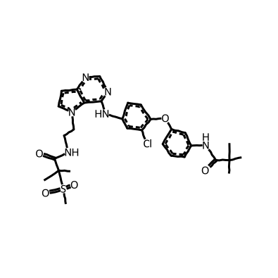 CC(C)(C)C(=O)Nc1cccc(Oc2ccc(Nc3ncnc4ccn(CCNC(=O)C(C)(C)S(C)(=O)=O)c34)cc2Cl)c1